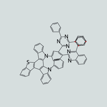 c1ccc(-c2nc(-c3ccccc3)nc(-c3cc(-n4c5ccccc5c5c6sc7ccccc7c6c6c7ccccc7n(-c7ccccc7)c6c54)ccc3-c3nc(-c4ccccc4)c4ccccc4n3)n2)cc1